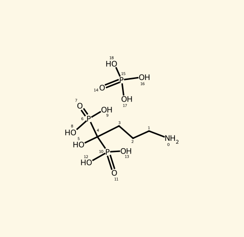 NCCCC(O)(P(=O)(O)O)P(=O)(O)O.O=P(O)(O)O